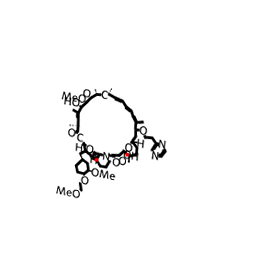 COCCO[C@@H]1CC[C@@H](CC2[C@H]3CCCN4C(=O)C(=O)[C@]5(O)O[C@@H](CC[C@H]5C)CC(OCCc5cnccn5)/C(C)=C/C=C/C=C/[C@@H](C)C[C@@H](C)C(=O)[C@H](OC)[C@H](O)/C(C)=C/[C@@H](C)C(=O)C[C@@H]2OC(=O)C34)C[C@H]1OC